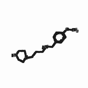 COc1ccc(CNCCCN2CCNCC2)cc1